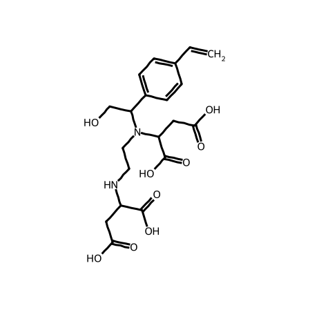 C=Cc1ccc(C(CO)N(CCNC(CC(=O)O)C(=O)O)C(CC(=O)O)C(=O)O)cc1